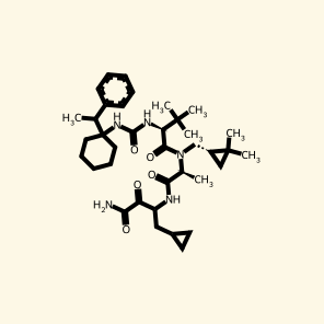 CC(c1ccccc1)C1(NC(=O)N[C@H](C(=O)N(C[C@H]2CC2(C)C)[C@@H](C)C(=O)NC(CC2CC2)C(=O)C(N)=O)C(C)(C)C)CCCCC1